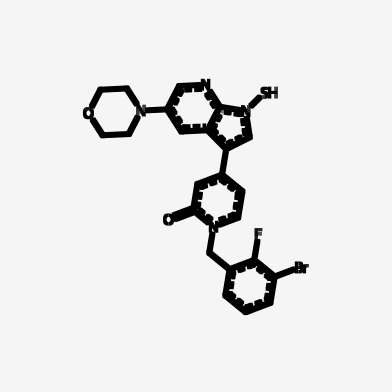 O=c1cc(-c2cn(S)c3ncc(N4CCOCC4)cc23)ccn1Cc1cccc(Br)c1F